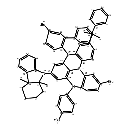 CC(C)(C)c1ccc(N2c3ccc(C(C)(C)C)cc3B3c4ccc(C(C)(C)c5ccccc5)cc4N(c4ccc(C(C)(C)C)cc4-c4ccccc4)c4cc(N5c6ccccc6C6(C)CCCCC56C)cc2c43)cc1